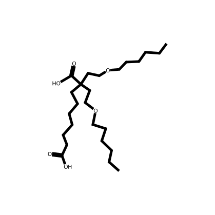 CCCCCCOCCC(CCCCCCC(=O)O)(CCOCCCCCC)C(=O)O